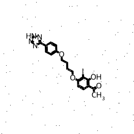 CC(=O)c1ccc(OCCCCOc2ccc(-c3nn[nH]n3)cc2)c(I)c1O